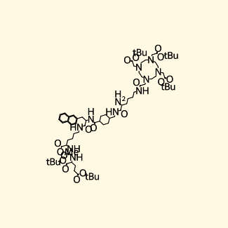 COC(=O)C(CCCCNC(=O)C(Cc1ccc2ccccc2c1)NC(=O)C1CCC(CNC(=O)C(N)CCCCNC(=O)CN2CCN(CC(=O)OC(C)(C)C)CCN(CC(=O)OC(C)(C)C)CCN(CC(=O)OC(C)(C)C)CC2)CC1)NC(=O)NC(CCC(=O)OC(C)(C)C)C(=O)OC(C)(C)C